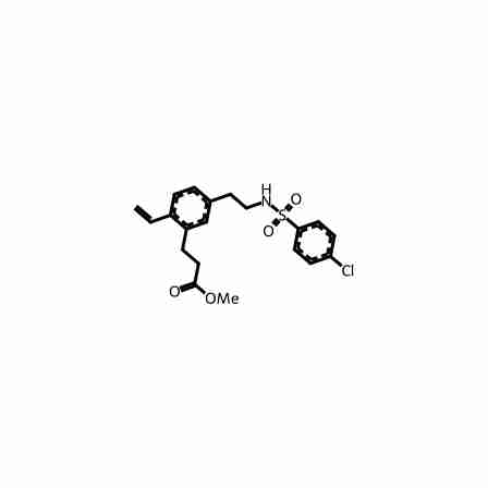 C=Cc1ccc(CCNS(=O)(=O)c2ccc(Cl)cc2)cc1CCC(=O)OC